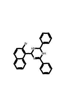 Brc1ccc2ccccc2c1C1N=C(c2ccccc2)NC(c2ccccc2)N1